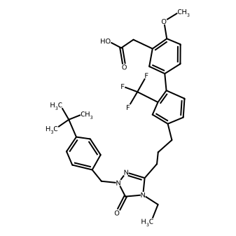 CCn1c(CCCc2ccc(-c3ccc(OC)c(CC(=O)O)c3)c(C(F)(F)F)c2)nn(Cc2ccc(C(C)(C)C)cc2)c1=O